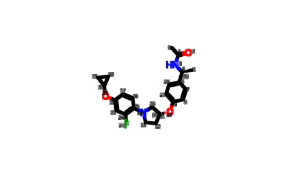 CC(=O)N[C@@H](C)c1ccc(O[C@@H]2CCN(c3ccc(OC4CC4)cc3F)C2)cc1